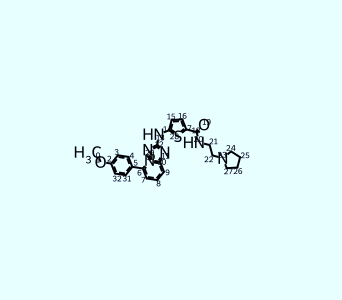 COc1ccc(-c2cccc3nc(Nc4ccc(C(=O)NCCN5CCCC5)s4)nn23)cc1